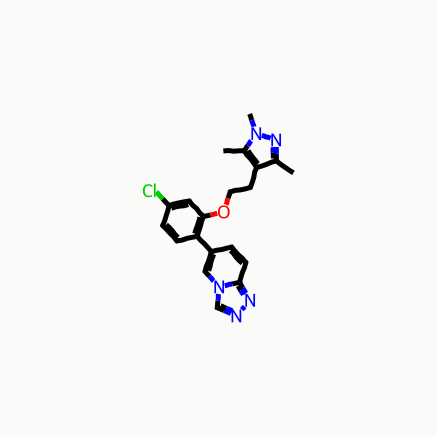 Cc1nn(C)c(C)c1CCOc1cc(Cl)ccc1-c1ccc2nncn2c1